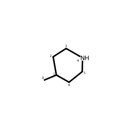 C[C]1CCNCC1